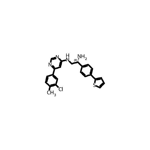 Cc1ccc(-c2cc(NC[C@H](N)c3ccc(-c4cccs4)cc3)ncn2)cc1Cl